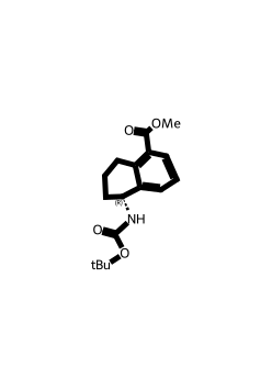 COC(=O)c1cccc2c1CCC[C@H]2NC(=O)OC(C)(C)C